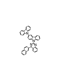 c1ccc2cc(-c3nc(-n4c5ccccc5c5cc(-n6c7ccccc7c7ccccc76)ccc54)nc4ccccc34)ccc2c1